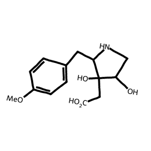 COc1ccc(CC2NCC(O)C2(O)CC(=O)O)cc1